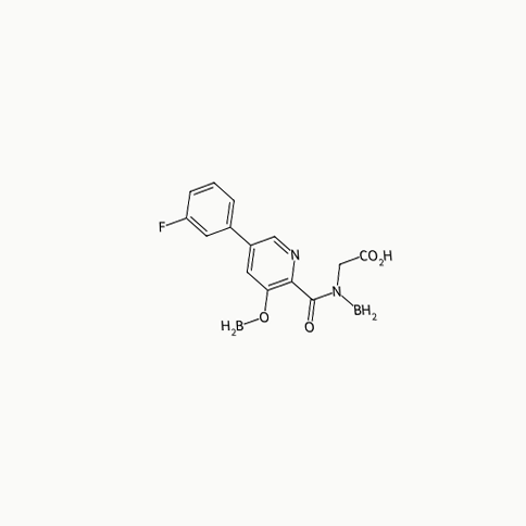 BOc1cc(-c2cccc(F)c2)cnc1C(=O)N(B)CC(=O)O